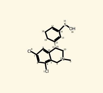 CN1Cc2c(Cl)cc(Cl)cc2[C@H](C2=CC(SO)=CCC2)C1